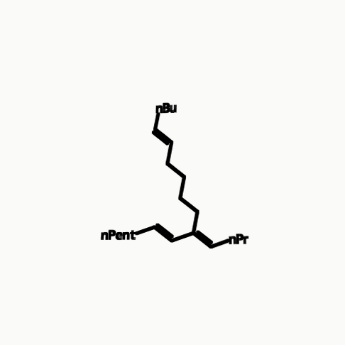 CCCC=C(C=CCCCCC)CCCCC=CCCCC